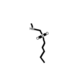 CCCCCS(=O)(=O)CNC